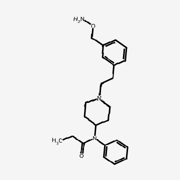 CCC(=O)N(c1ccccc1)C1CCN(CCc2cccc(CON)c2)CC1